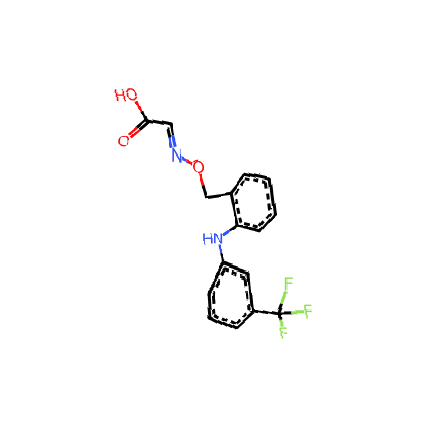 O=C(O)C=NOCc1ccccc1Nc1cccc(C(F)(F)F)c1